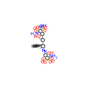 Cc1cc(-c2ccc(-c3ccc4c(S(=O)(=O)[O-])c(N=N)c(S(=O)(=O)[O-])c(N)c4c3O)c(C)c2)ccc1N=Nc1ccc2c(S(=O)(=O)[O-])cc(S(=O)(=O)[O-])c(N)c2c1O.[Na+].[Na+].[Na+].[Na+]